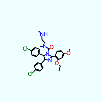 CCOc1cc(OC)ccc1C1=NC(c2ccc(Cl)cc2)C(c2ccc(Cl)cc2)N1C(=O)N(C)CCNC